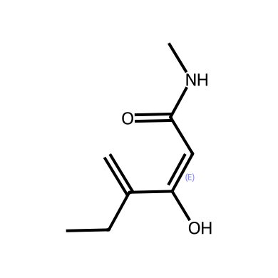 C=C(CC)/C(O)=C\C(=O)NC